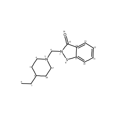 CCC1CCN(Cn2sc3ccccc3c2=O)CC1